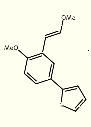 CO/C=C/c1cc(-c2cccs2)ccc1OC